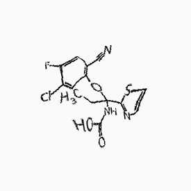 CCC(NC(=O)O)(Oc1cc(Cl)c(F)cc1C#N)c1nccs1